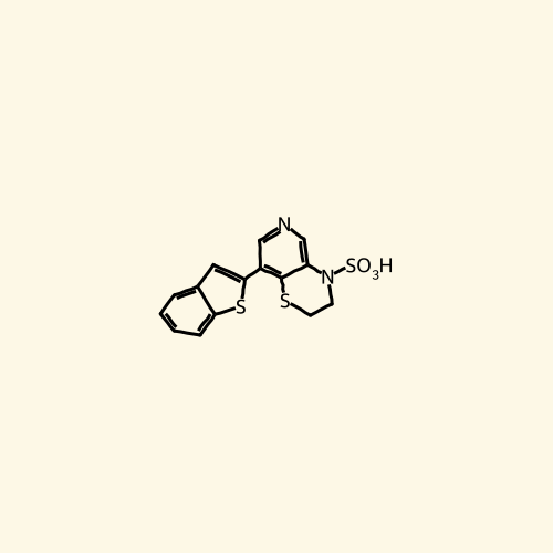 O=S(=O)(O)N1CCSc2c(-c3cc4ccccc4s3)cncc21